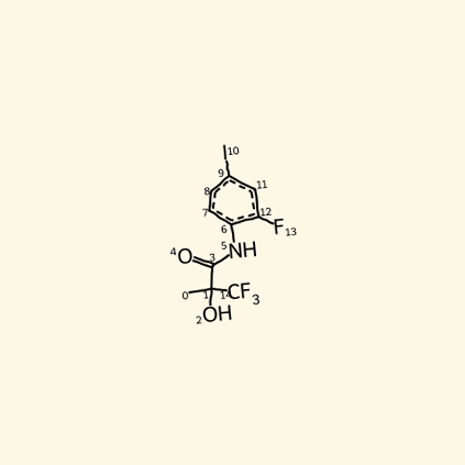 CC(O)(C(=O)Nc1ccc(I)cc1F)C(F)(F)F